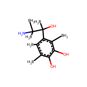 Bc1c(B)c(C(B)(O)C(B)(B)N)c(B)c(O)c1O